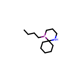 CCCCP1CCCNC12CCCCC2